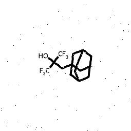 OC(CC12C[C]3CC(CC(C3)C1)C2)(C(F)(F)F)C(F)(F)F